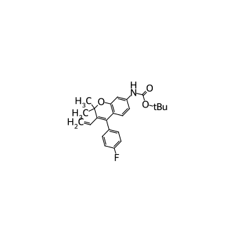 C=CC1=C(c2ccc(F)cc2)c2ccc(NC(=O)OC(C)(C)C)cc2OC1(C)C